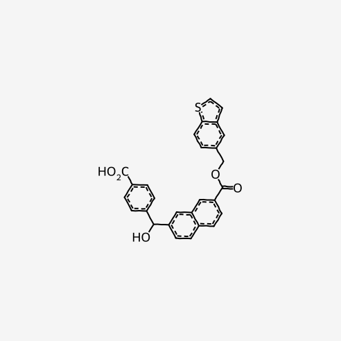 O=C(O)c1ccc(C(O)c2ccc3ccc(C(=O)OCc4ccc5sccc5c4)cc3c2)cc1